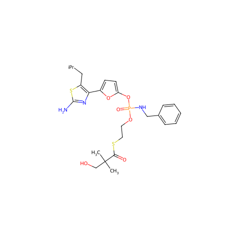 CC(C)Cc1sc(N)nc1-c1ccc(OP(=O)(NCc2ccccc2)OCCSC(=O)C(C)(C)CO)o1